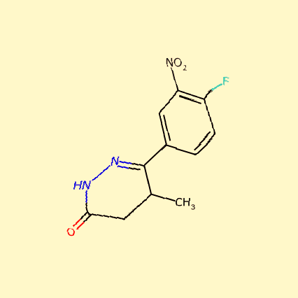 CC1CC(=O)NN=C1c1ccc(F)c([N+](=O)[O-])c1